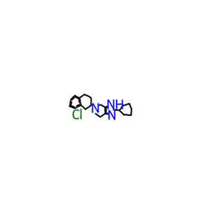 Clc1cccc2c1CC(N1CCc3nc(C4CCCCC4)[nH]c3C1)CC2